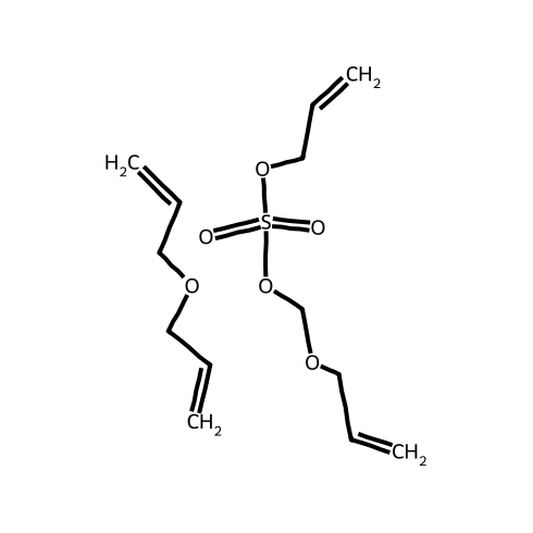 C=CCOCC=C.C=CCOCOS(=O)(=O)OCC=C